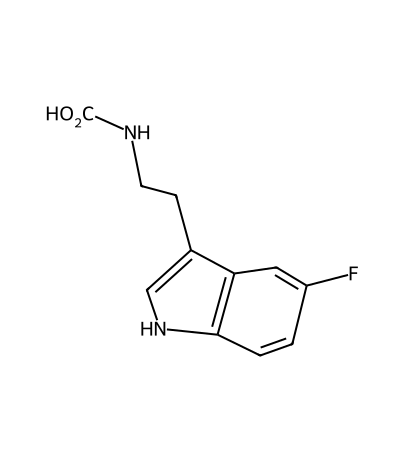 O=C(O)NCCc1c[nH]c2ccc(F)cc12